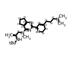 C=C(CN(C)c1nc(C2=NCCC(CCCN(C)C)=C2)nc2c1CCC2)NC(C)(C)C